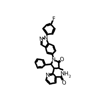 CC1C(=O)N(c2ccc3c(cnn3-c3ccc(F)cc3)c2)C(c2ccccc2)C1c1ncccc1C(N)=O